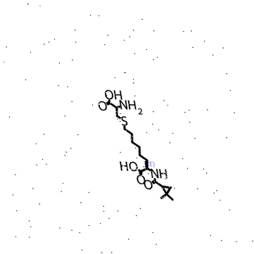 CC1(C)CC1C(=O)N/C(=C/CCCCCSCC(N)C(=O)O)C(=O)O